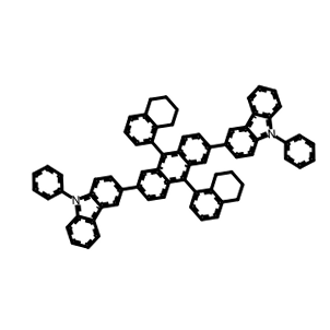 c1ccc(-n2c3ccccc3c3cc(-c4ccc5c(-c6cccc7c6CCCC7)c6cc(-c7ccc8c(c7)c7ccccc7n8-c7ccccc7)ccc6c(-c6cccc7c6CCCC7)c5c4)ccc32)cc1